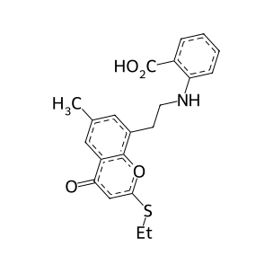 CCSc1cc(=O)c2cc(C)cc(CCNc3ccccc3C(=O)O)c2o1